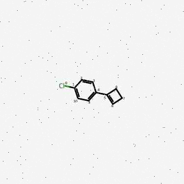 Clc1ccc(C2=CCC2)cc1